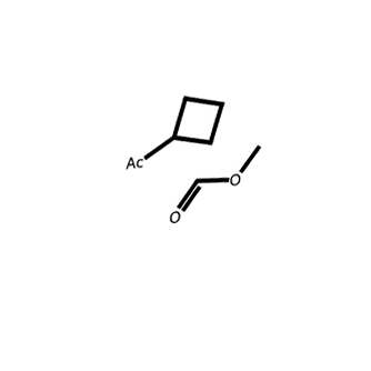 CC(=O)C1CCC1.COC=O